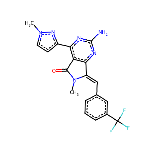 CN1C(=O)c2c(nc(N)nc2-c2ccn(C)n2)C1=Cc1cccc(C(F)(F)F)c1